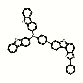 c1ccc(-c2nc3ccc4oc5cc(-c6ccc(N(c7ccc8c(c7)oc7ccccc78)c7ccc8c(c7)oc7ccccc78)cc6)ccc5c4c3s2)cc1